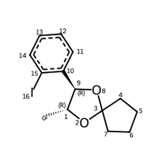 [CH2][C@H]1OC2(CCCC2)O[C@@H]1c1ccccc1I